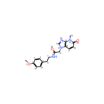 COc1ccc(CCNC(=O)Cn2cnc3c2ccc(=O)n3C)cc1